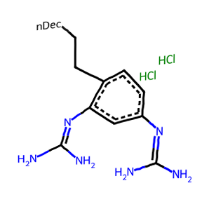 CCCCCCCCCCCCc1ccc(N=C(N)N)cc1N=C(N)N.Cl.Cl